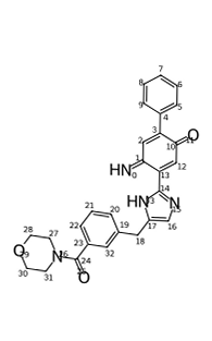 N=C1C=C(c2ccccc2)C(=O)C=C1c1ncc(Cc2cccc(C(=O)N3CCOCC3)c2)[nH]1